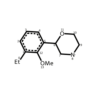 CCc1cccc(C2C[N]CCO2)c1OC